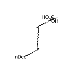 CCCCCCCCCCCCCCCCCCCCC1C[C@H]1CCCCCCCCCCCCCCC1C[C@H]1CCCCCCCCCCC[C@@H](O)[C@@H](CC)C(=O)O